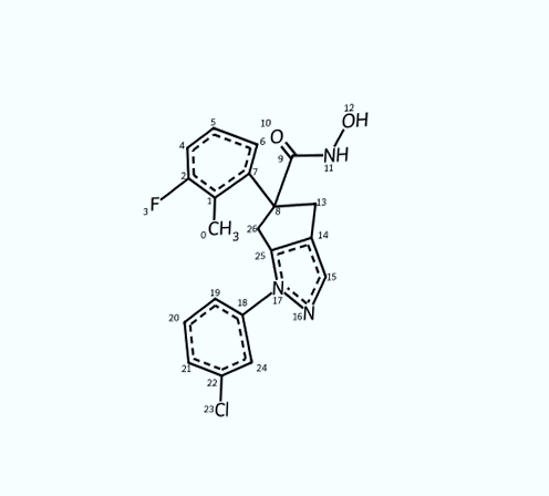 Cc1c(F)cccc1C1(C(=O)NO)Cc2cnn(-c3cccc(Cl)c3)c2C1